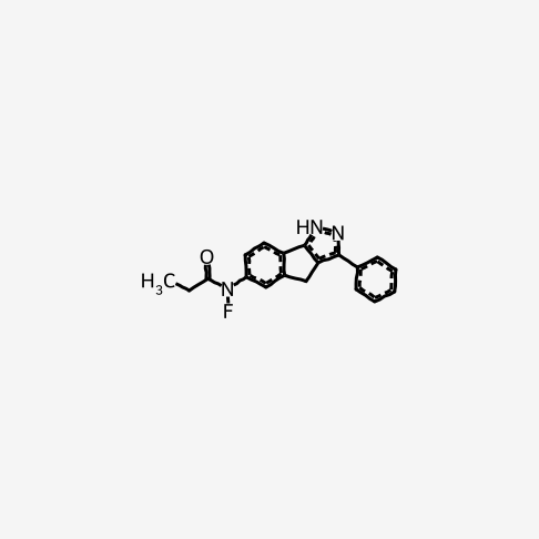 CCC(=O)N(F)c1ccc2c(c1)Cc1c(-c3ccccc3)n[nH]c1-2